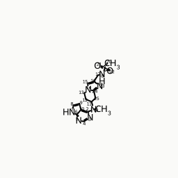 CN(c1ncnc2[nH]ccc12)C1CCn2cc(CNS(C)(=O)=O)nc2C1